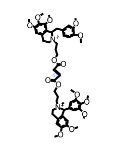 COc1ccc(CC2c3c(cc(OC)c(OC)c3OC)CC[N+]2(C)CCCOC(=O)/C=C/C(=O)OCCC[N+]2(C)CCc3cc(OC)c(OC)cc3C2c2cc(OC)c(OC)c(OC)c2)cc1OC